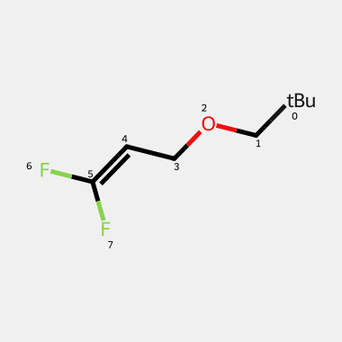 CC(C)(C)COCC=C(F)F